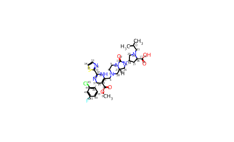 COC(=O)C1=C(CN2CCN3C(=O)N([C@H]4C[C@H](C(=O)O)N(CC(C)C)C4)C[C@@H]3C2)NC(c2nccs2)=N[C@H]1c1ccc(F)cc1Cl